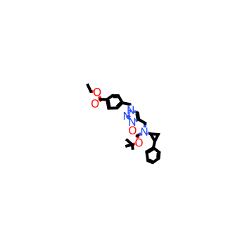 CCOC(=O)c1ccc(Cn2cc(CN(C(=O)OC(C)(C)C)C3CC3c3ccccc3)nn2)cc1